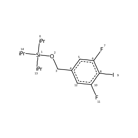 CC(C)[Si](OCc1cc(F)c(I)c(F)c1)(C(C)C)C(C)C